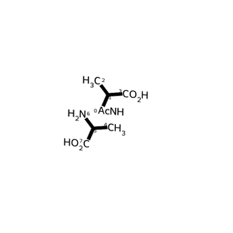 CC(=O)NC(C)C(=O)O.CC(N)C(=O)O